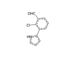 O=Cc1cccc(-c2ccc[nH]2)c1Cl